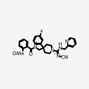 COc1ccccc1C(=O)NCC1(c2cccc(F)c2)CCN(/C(=N/C#N)NCc2ccccn2)CC1